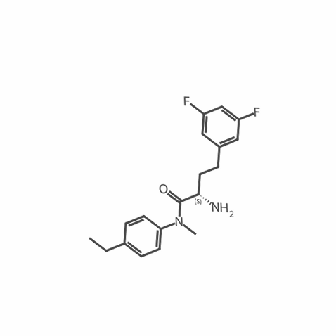 CCc1ccc(N(C)C(=O)[C@@H](N)CCc2cc(F)cc(F)c2)cc1